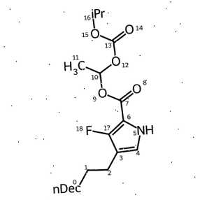 CCCCCCCCCCCCc1c[nH]c(C(=O)OC(C)OC(=O)OC(C)C)c1F